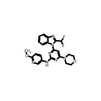 COc1ccc(Nc2nc(N3CCOCC3)cc(-n3c(C(F)F)nc4ccccc43)n2)cn1